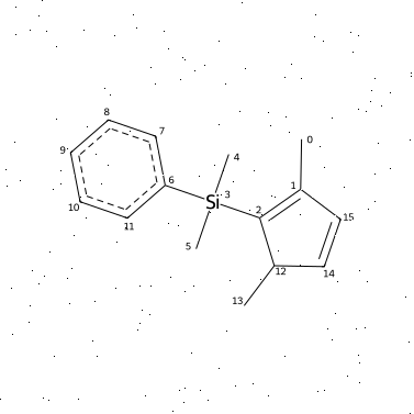 CC1=C([Si](C)(C)c2ccccc2)C(C)C=C1